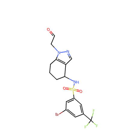 O=CCn1ncc2c1CCCC2NS(=O)(=O)c1cc(Br)cc(C(F)(F)F)c1